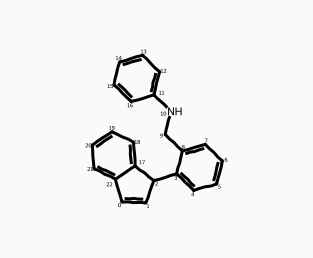 C1=CC(c2ccccc2CNc2ccccc2)c2ccccc21